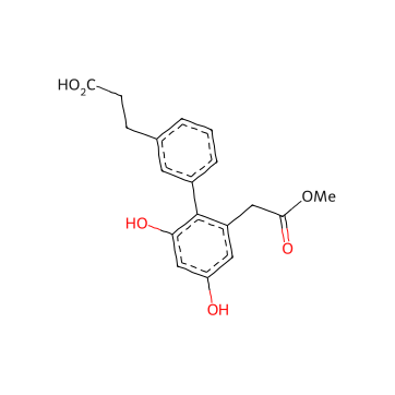 COC(=O)Cc1cc(O)cc(O)c1-c1cccc(CCC(=O)O)c1